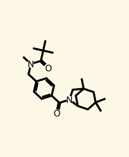 CN(Cc1ccc(C(=O)N2CC3(C)CC2CC(C)(C)C3)cc1)C(=O)C(C)(C)C